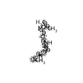 COc1cc2nccc(Oc3cccc(CC(=O)Nc4nc(C(=O)N5CCC(NC(=O)CCC6CCCCN6C)CC5)cs4)c3)c2cc1OC